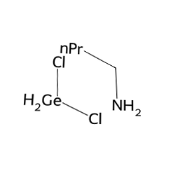 CCCCN.[Cl][GeH2][Cl]